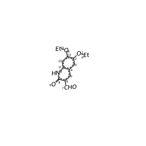 CCOc1cc2cc(C=O)c(=O)[nH]c2cc1OCC